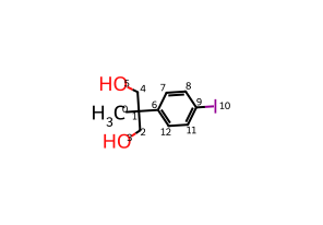 CC(CO)(CO)c1ccc(I)cc1